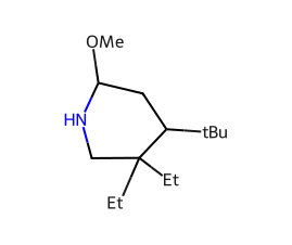 CCC1(CC)CNC(OC)CC1C(C)(C)C